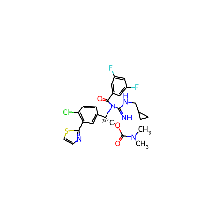 CN(C)C(=O)OC[C@H](c1ccc(Cl)c(-c2nccs2)c1)N(C(=N)NCC1CC1)C(=O)c1cc(F)cc(F)c1